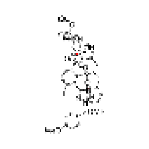 COc1ccc(CN(Cc2ccc(OC)cc2)S(=O)(=O)c2c(S(=O)(=O)[C@H](CO)CNC(=O)OC(C)(C)C)ccc(I)c2-c2nnn(Cc3ccc(OC)cc3)n2)cc1